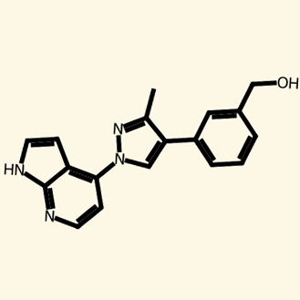 Cc1nn(-c2ccnc3[nH]ccc23)cc1-c1cccc(CO)c1